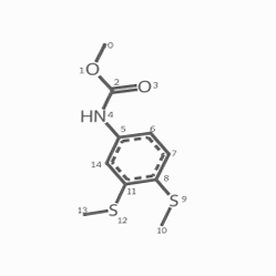 [CH2]OC(=O)Nc1ccc(SC)c(SC)c1